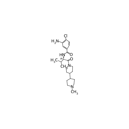 CC(C)[C@@H](NC(=O)c1ccc(Cl)c(N)c1)C(=O)N1CCC(C2CCN(C)CC2)CC1